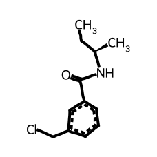 CC[C@@H](C)NC(=O)c1cccc(CCl)c1